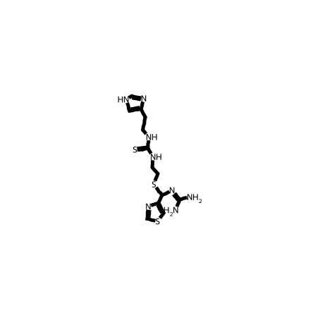 NC(N)=NC(SCCNC(=S)NCCc1c[nH]cn1)c1cscn1